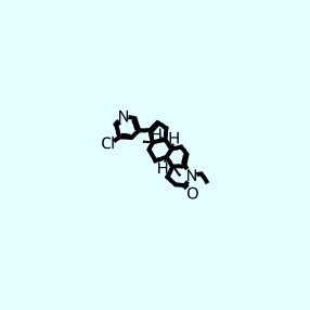 CCN1C(=O)CC[C@@]2(C)C1=CC[C@@H]1[C@@H]2CC[C@]2(C)C(c3cncc(Cl)c3)=CC[C@@H]12